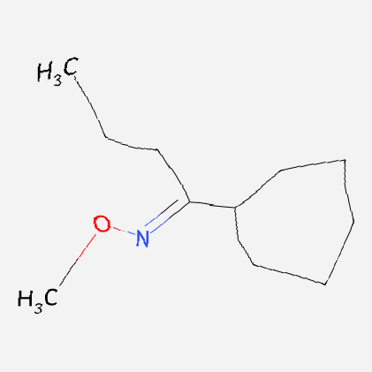 CCCC(=NOC)C1CCCCC1